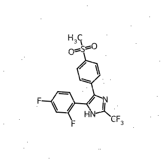 CS(=O)(=O)c1ccc(-c2nc(C(F)(F)F)[nH]c2-c2ccc(F)cc2F)cc1